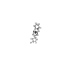 CC1CCC(c2cnn(Cc3ccccc3)c2)C1